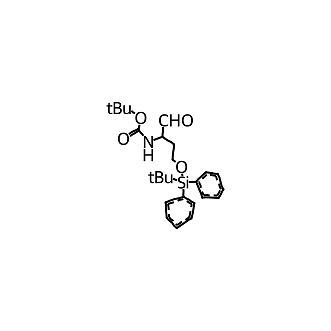 CC(C)(C)OC(=O)NC(C=O)CCO[Si](c1ccccc1)(c1ccccc1)C(C)(C)C